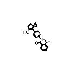 CC1=C(c2ccc(NC(=O)c3ccccc3C)nc2)C2(CC1)CC2